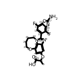 CC(Oc1cc2c3c(c1)nc(-c1cc(F)c4oc(N)nc4c1F)n3CCCCO2)C(=O)O